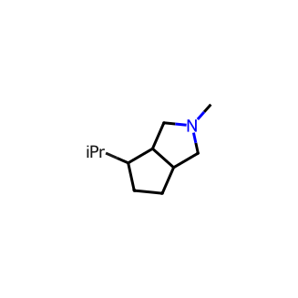 CC(C)C1CCC2CN(C)CC21